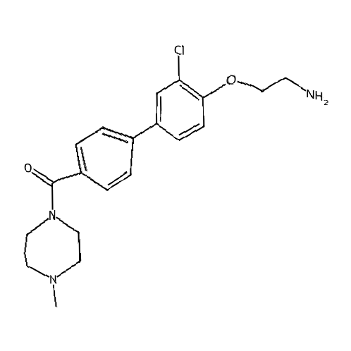 CN1CCN(C(=O)c2ccc(-c3ccc(OCCN)c(Cl)c3)cc2)CC1